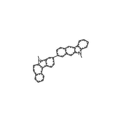 Cn1c2ccccc2c2cc3ccc(-c4ccc5c6c7ccccc7ccc6n(C)c5c4)cc3cc21